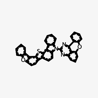 c1ccc2c(c1)Oc1cccc3nc(-n4c5ccccc5c5c6sc7c(ccc8oc9ccccc9c87)c6ccc54)nc-2c13